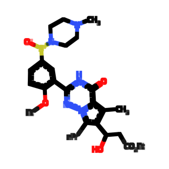 CCCc1c(C(O)CC(=O)OCC)c(C)c2c(=O)[nH]c(-c3cc([S+]([O-])N4CCN(C)CC4)ccc3OCC)nn12